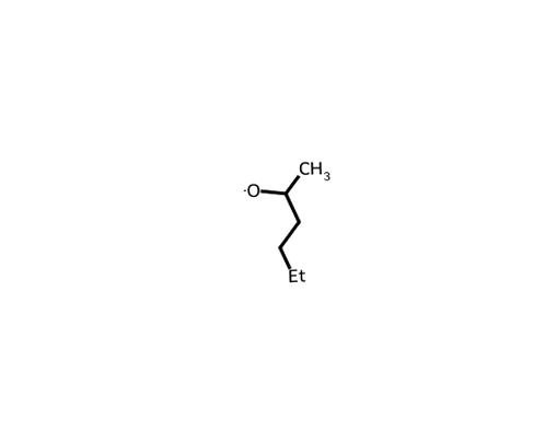 [CH2]CCCC(C)[O]